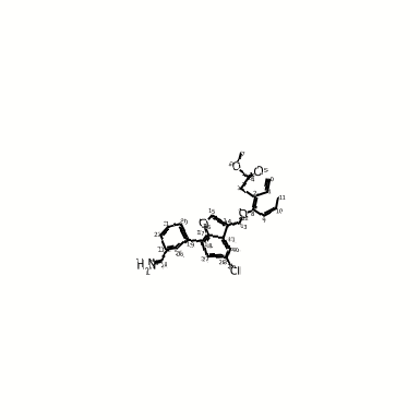 C=C/C(CC(=O)OC)=C(\C=C/C)OCc1coc2c(-c3cccc(CN)c3)cc(Cl)cc12